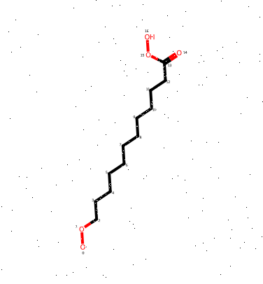 [O]OCCCCCCCCCCCC(=O)OO